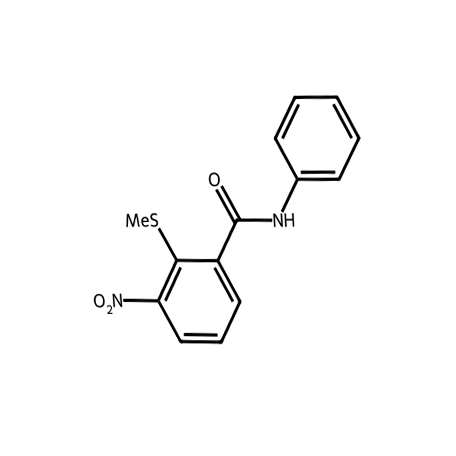 CSc1c(C(=O)Nc2ccccc2)cccc1[N+](=O)[O-]